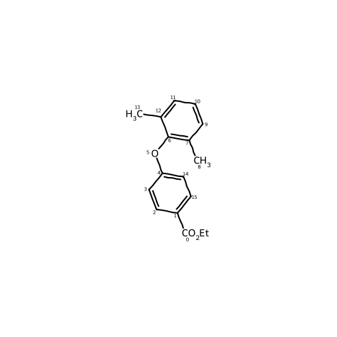 CCOC(=O)c1ccc(Oc2c(C)cccc2C)cc1